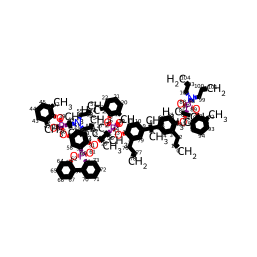 C=CCc1cc(C(C)(C)c2ccc(OP(=O)(Oc3c(C)cccc3C)C(C)(C)C(C)(C)Oc3ccc(OP(=O)(Oc4c(C)cccc4C)C(C)(C)N(CC=C)CC=C)cc3P3(=O)Oc4ccccc4-c4ccccc43)c(CC=C)c2)ccc1OC(C)(C)P(=O)(Oc1c(C)cccc1C)N(CC=C)CC=C